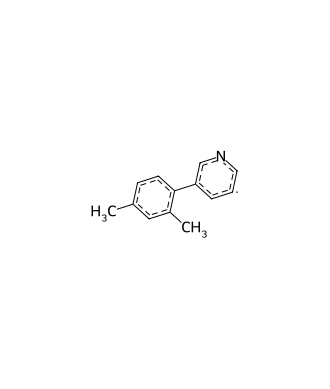 Cc1ccc(-c2c[c]cnc2)c(C)c1